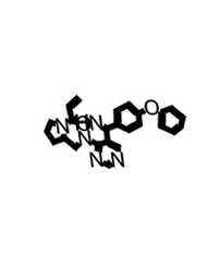 C=CC(=O)N1CCCC1CNc1ncncc1C(=N)c1ccc(Oc2ccccc2)cc1